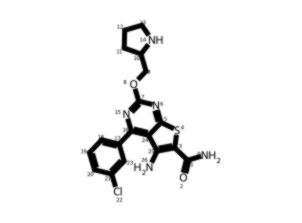 NC(=O)c1sc2nc(OCC3CCCN3)nc(-c3cccc(Cl)c3)c2c1N